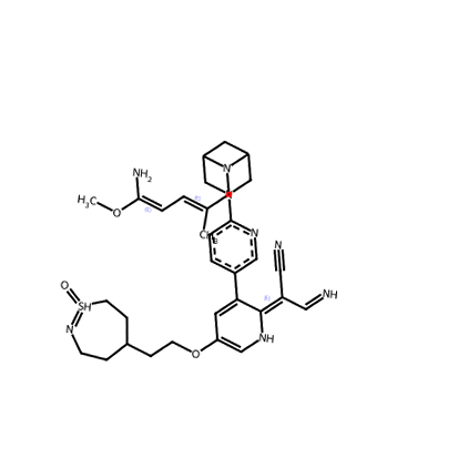 CO/C(N)=C/C=C(\C)CN1C2CC1CN(c1ccc(C3=CC(OCCC4CCN=[SH](=O)CC4)=CN/C3=C(/C#N)C=N)cn1)C2